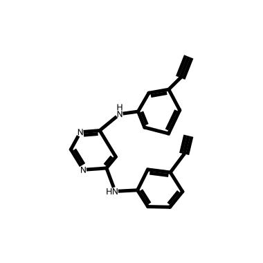 C#Cc1cccc(Nc2cc(Nc3cccc(C#C)c3)ncn2)c1